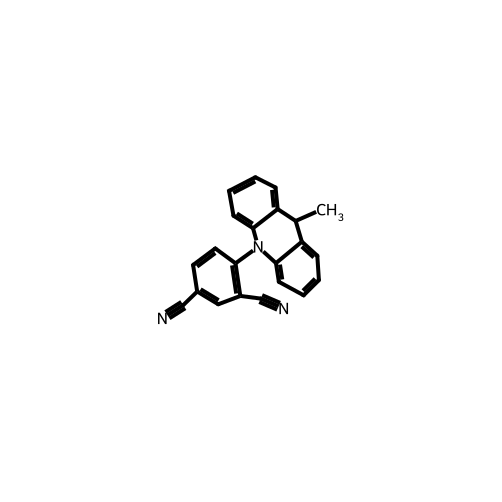 CC1c2ccccc2N(c2ccc(C#N)cc2C#N)c2ccccc21